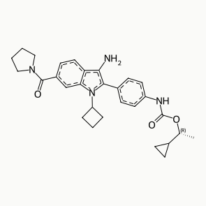 C[C@@H](OC(=O)Nc1ccc(-c2c(N)c3ccc(C(=O)N4CCCC4)cc3n2C2CCC2)cc1)C1CC1